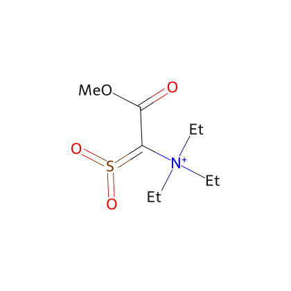 CC[N+](CC)(CC)C(C(=O)OC)=S(=O)=O